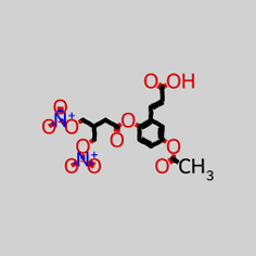 CC(=O)Oc1ccc(OC(=O)CC(CO[N+](=O)[O-])CO[N+](=O)[O-])c(C=CC(=O)O)c1